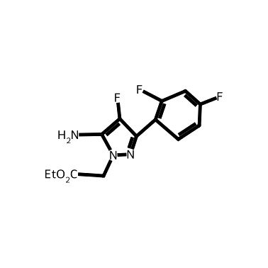 CCOC(=O)Cn1nc(-c2ccc(F)cc2F)c(F)c1N